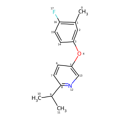 Cc1cc(Oc2ccc(C(C)C)nc2)ccc1F